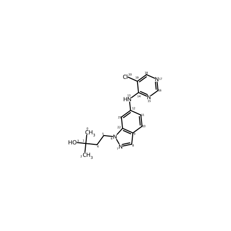 CC(C)(O)CCn1ncc2ccc(Nc3ncncc3Cl)cc21